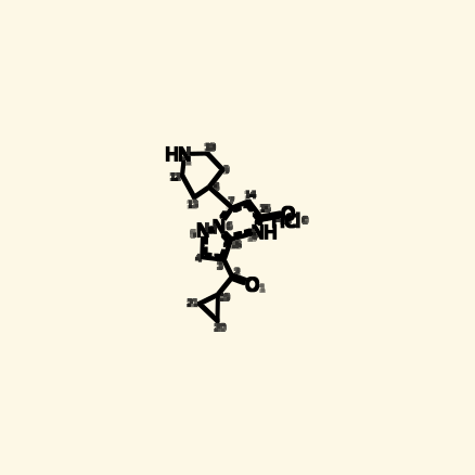 Cl.O=C(c1cnn2c(C3CCNCC3)cc(=O)[nH]c12)C1CC1